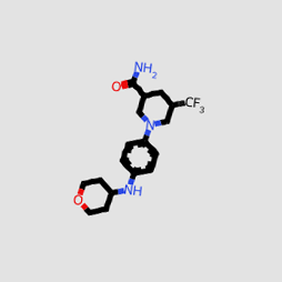 NC(=O)C1CC(C(F)(F)F)CN(c2ccc(NC3CCOCC3)cc2)C1